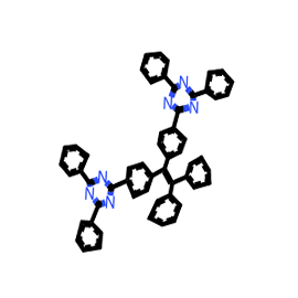 c1ccc(C(=C(c2ccc(-c3nc(-c4ccccc4)nc(-c4ccccc4)n3)cc2)c2ccc(-c3nc(-c4ccccc4)nc(-c4ccccc4)n3)cc2)c2ccccc2)cc1